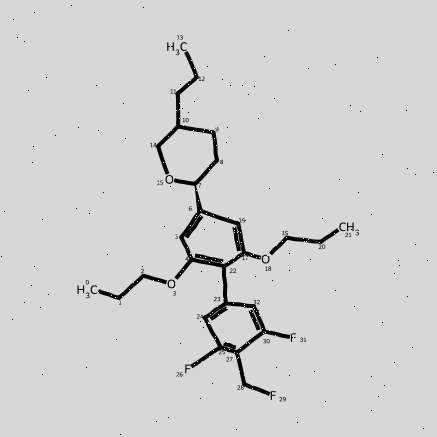 CCCOc1cc([C@@H]2CCC(CCC)CO2)cc(OCCC)c1-c1cc(F)c(CF)c(F)c1